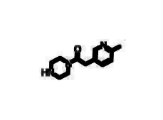 Cc1ccc(CC(=O)N2CCNCC2)cn1